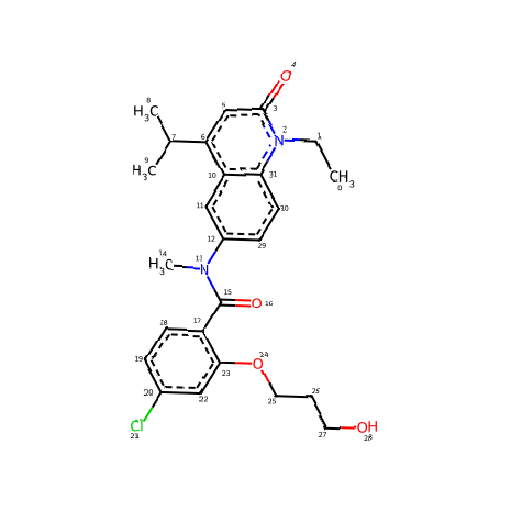 CCn1c(=O)cc(C(C)C)c2cc(N(C)C(=O)c3ccc(Cl)cc3OCCCO)ccc21